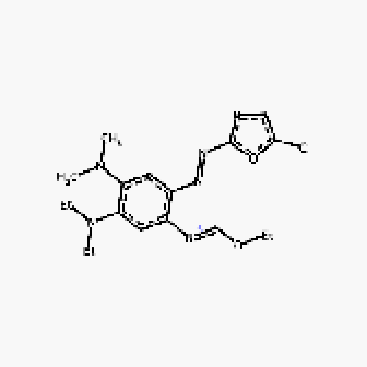 CCO/C=N/c1cc(N(CC)CC)c(N(C)C)cc1N=Nc1ncc(Cl)o1